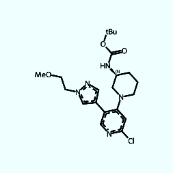 COCCn1cc(-c2cnc(Cl)cc2N2CCC[C@H](NC(=O)OC(C)(C)C)C2)cn1